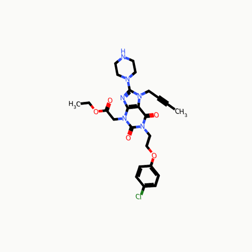 CC#CCn1c(N2CCNCC2)nc2c1c(=O)n(CCOc1ccc(Cl)cc1)c(=O)n2CC(=O)OCC